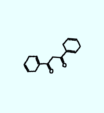 O=C(CC(=O)C1=CCC=CC1)C1=CCC=CC1